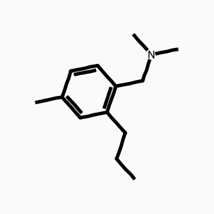 CCCc1cc(C)ccc1CN(C)C